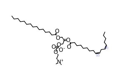 CCCC/C=C\C/C=C\CCCCCCCC(=O)O[C@H](COC(=O)CCCCCCCCCCCCCC)COP(=O)([O-])OCC[N+](C)(C)C